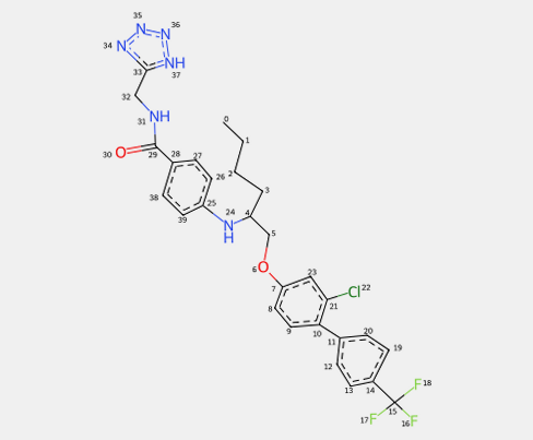 CCCCC(COc1ccc(-c2ccc(C(F)(F)F)cc2)c(Cl)c1)Nc1ccc(C(=O)NCc2nnn[nH]2)cc1